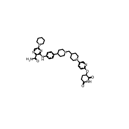 NC(=O)c1ncc(N2CCCCC2)nc1Nc1ccc(C2CCN(CC3CCN(c4ccc(OC5CCC(=O)NC5=O)nc4)CC3)CC2)cc1